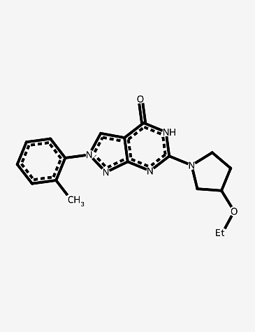 CCOC1CCN(c2nc3nn(-c4ccccc4C)cc3c(=O)[nH]2)C1